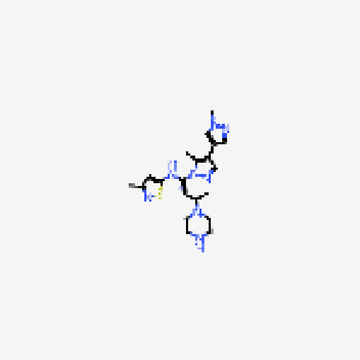 Cc1cc(N/C(=C/C(C)N2CCNCC2)n2ncc(-c3cnn(C)c3)c2C)sn1